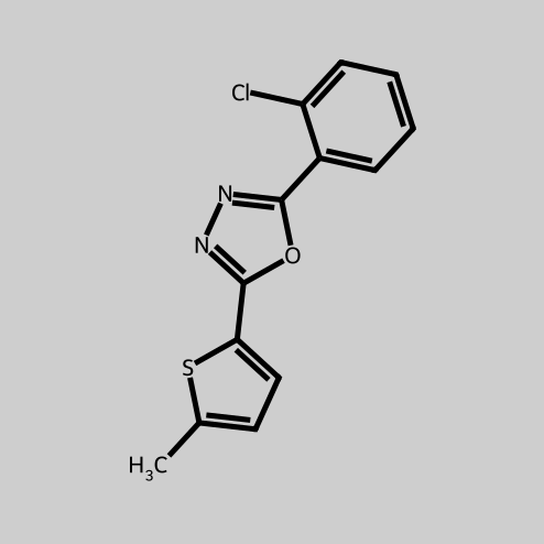 Cc1ccc(-c2nnc(-c3ccccc3Cl)o2)s1